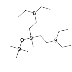 CCB(CC)CC[Si](C)(CCB(CC)CC)O[Si](C)(C)C